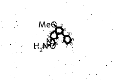 COc1ccc(-c2ccccc2)c2c1CCC1(COC(N)=N1)C2